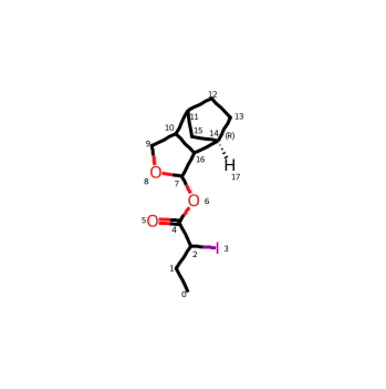 CCC(I)C(=O)OC1OCC2C3CC[C@H](C3)C12